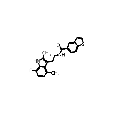 Cc1[nH]c2c(F)ccc(C)c2c1CCNC(=O)c1ccc2sccc2c1